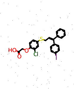 O=C(O)COc1ccc(SC/C=C(/c2ccccc2)c2ccc(I)cc2)cc1Cl